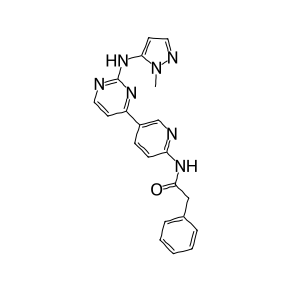 Cn1nccc1Nc1nccc(-c2ccc(NC(=O)Cc3ccccc3)nc2)n1